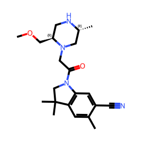 COC[C@H]1CN[C@H](C)CN1CC(=O)N1CC(C)(C)c2cc(C)c(C#N)cc21